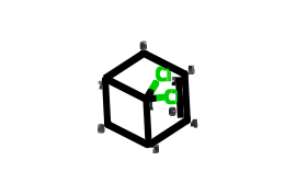 ClC1(Cl)C2C=CCC1C2